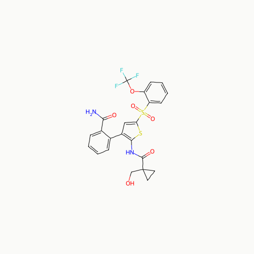 NC(=O)c1ccccc1-c1cc(S(=O)(=O)c2ccccc2OC(F)(F)F)sc1NC(=O)C1(CO)CC1